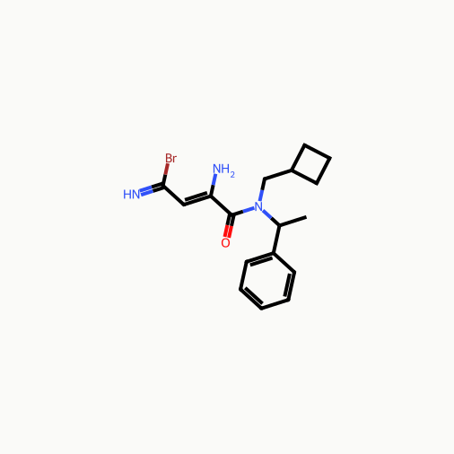 CC(c1ccccc1)N(CC1CCC1)C(=O)/C(N)=C/C(=N)Br